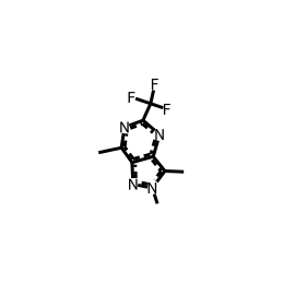 Cc1nc(C(F)(F)F)nc2c(C)n(C)nc12